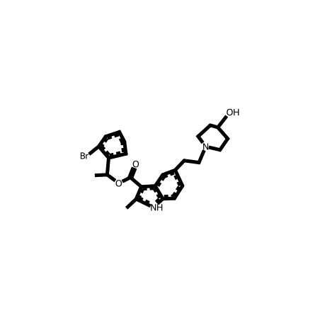 Cc1[nH]c2ccc(CCN3CCC(O)CC3)cc2c1C(=O)OC(C)c1ccccc1Br